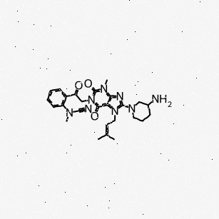 CC(C)=CCn1c(N2CCCC(N)C2)nc2c1c(=O)n(CC(=O)c1ccccc1N(C)C#N)c(=O)n2C